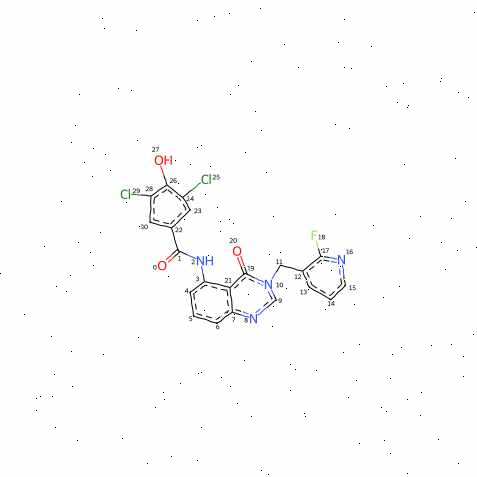 O=C(Nc1cccc2ncn(Cc3cccnc3F)c(=O)c12)c1cc(Cl)c(O)c(Cl)c1